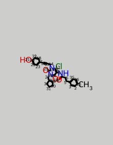 Cc1ccc(CCC(=O)Nc2c(Cl)n(CC#Cc3ccc(O)cc3)c(=O)n(CC3CCCC3)c2=O)cc1